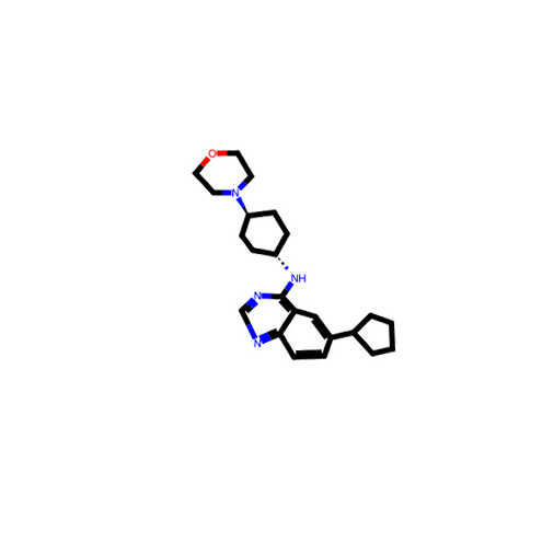 c1nc(N[C@H]2CC[C@H](N3CCOCC3)CC2)c2cc(C3CCCC3)ccc2n1